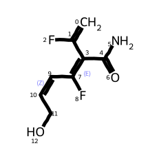 C=C(F)/C(C(N)=O)=C(F)\C=C/CO